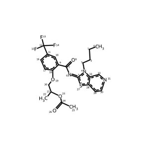 CCCCn1c(=NC(=O)c2cc(C(F)(F)F)ccc2OCC(C)OC(C)=O)sc2ccncc21